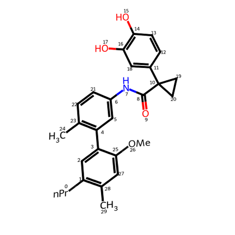 CCCc1cc(-c2cc(NC(=O)C3(c4ccc(O)c(O)c4)CC3)ccc2C)c(OC)cc1C